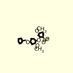 COc1ccc([N+](=O)[O-])c(Oc2ccc(OCc3ccccc3)cc2OC)c1